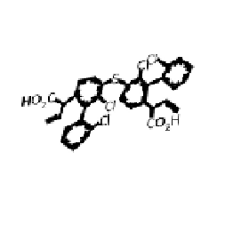 C=CC(C(=O)O)c1ccc(Sc2ccc(C(C=C)C(=O)O)c(-c3ccccc3Cl)c2Cl)c(Cl)c1-c1ccccc1Cl